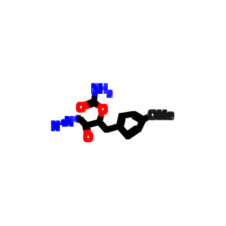 COc1ccc(CC(OC(N)=O)C(=O)C=[N+]=[N-])cc1